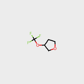 FC(F)(F)OC1[CH]OCC1